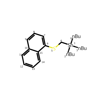 CCC[CH2][Sn]([CH2]CCC)([CH2]CCC)[CH2]Sc1cccc2ccccc12